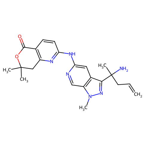 C=CCC(C)(N)c1nn(C)c2cnc(Nc3ccc4c(n3)CC(C)(C)OC4=O)cc12